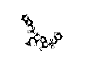 O=C(NC(CC1CC1)C(=O)N1CCC2C1C(=O)CN2S(=O)(=O)Cc1cccnc1)Oc1cc2sccc2s1